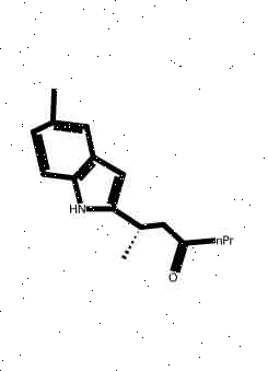 CCCC(=O)C[C@H](C)c1cc2cc(C)ccc2[nH]1